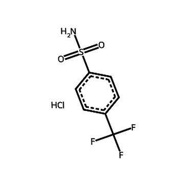 Cl.NS(=O)(=O)c1ccc(C(F)(F)F)cc1